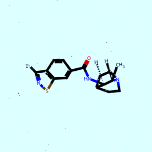 CCc1nsc2cc(C(=O)N[C@@H]3C4CCN(CC4)[C@H]3C)ccc12